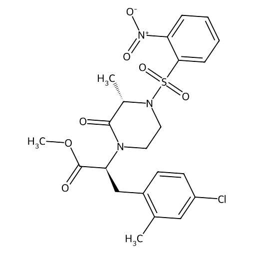 COC(=O)[C@H](Cc1ccc(Cl)cc1C)N1CCN(S(=O)(=O)c2ccccc2[N+](=O)[O-])[C@@H](C)C1=O